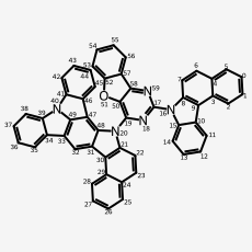 c1ccc2c(c1)ccc1c2c2ccccc2n1-c1nc(-n2c3ccc4ccccc4c3c3cc4c5ccccc5n5c6ccccc6c(c32)c45)c2oc3ccccc3c2n1